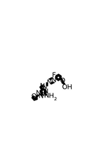 Nc1nc2c(cnn2CCN2CCN(c3cc(OCCO)ccc3F)CC2)c2nc(-c3ccco3)nn12